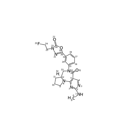 CNc1ncc2c(n1)N1CCC[C@H]1CN(c1cccc(-c3nn(CCF)c(=O)o3)c1)C2=O